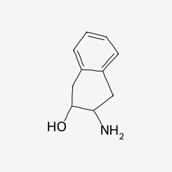 NC1Cc2ccccc2CC1O